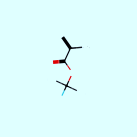 C=C(C#N)C(=O)OC(F)(C(F)(F)F)C(F)(F)F